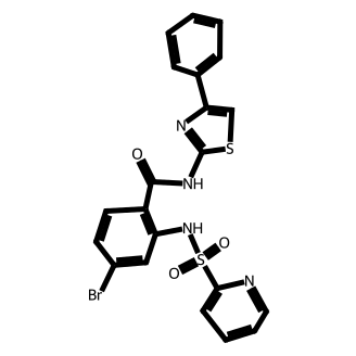 O=C(Nc1nc(-c2ccccc2)cs1)c1ccc(Br)cc1NS(=O)(=O)c1ccccn1